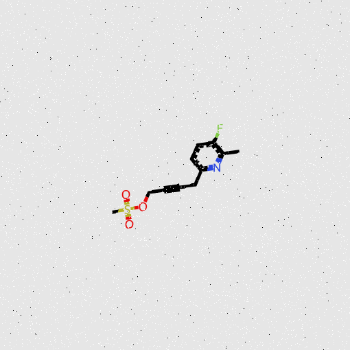 Cc1nc(CC#CCOS(C)(=O)=O)ccc1F